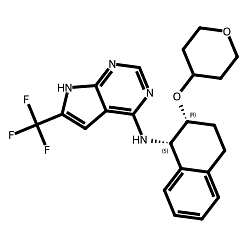 FC(F)(F)c1cc2c(N[C@H]3c4ccccc4CC[C@H]3OC3CCOCC3)ncnc2[nH]1